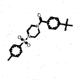 Cc1ccc(S(=O)(=O)N2CCN(C(=O)c3ccc(C(C)(C)C)cc3)CC2)cc1